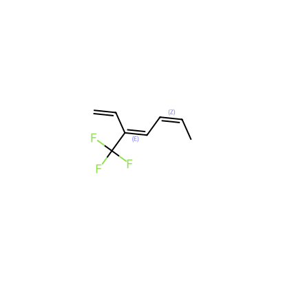 C=C/C(=C\C=C/C)C(F)(F)F